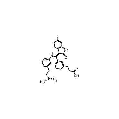 CN(C)CCc1cccc(NC(=C2C(=O)Nc3cc(F)ccc32)c2cccc(CCC(=O)O)c2)c1